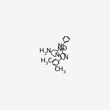 Cc1cc(C)cc(-c2cncc(-c3nnc(-c4ccccc4)o3)c2N2CCC(N)CC2)c1